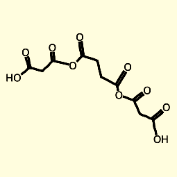 O=C(O)CC(=O)OC(=O)CCC(=O)OC(=O)CC(=O)O